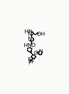 O=C(NC1CCC2C(C1)C2c1cc(C(F)(F)F)ccc1Oc1cccnc1)c1ccc(-c2n[nH]cc2CCO)nc1